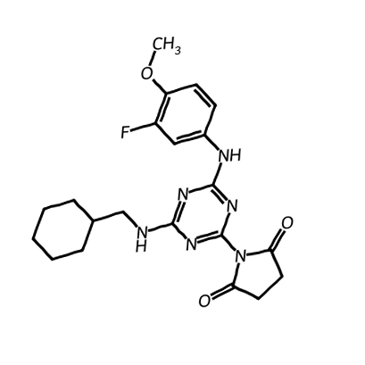 COc1ccc(Nc2nc(NCC3CCCCC3)nc(N3C(=O)CCC3=O)n2)cc1F